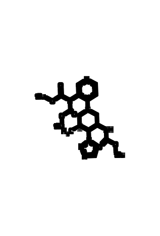 C[C@H]1CN(c2ccncc2N(C(=O)OC(C)(C)C)C(=O)OC(C)(C)C)CC(NC(=O)OC(C)(C)C)C1n1ccnn1